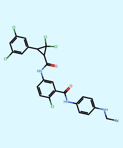 CC(=O)CNc1ccc(NC(=O)c2cc(NC(=O)C3C(c4cc(Cl)cc(Cl)c4)C3(Cl)Cl)ccc2Cl)cc1